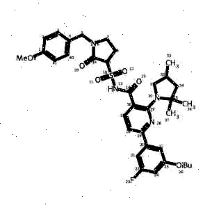 COc1ccc(CN2CCC(S(=O)(=O)NC(=O)c3ccc(-c4cc(F)cc(OCC(C)C)c4)nc3N3CC(C)CC3(C)C)C2=O)cc1